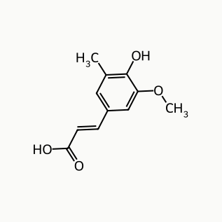 COc1cc(/C=C/C(=O)O)cc(C)c1O